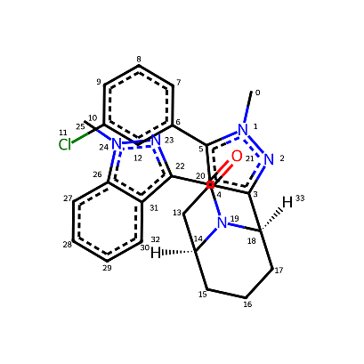 Cn1nc2c(c1-c1cccc(Cl)c1)C[C@@H]1CCC[C@H]2N1C(=O)c1nn(C)c2ccccc12